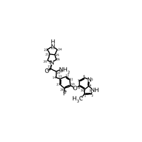 Cc1c[nH]c2nccc(Oc3ccc(CC(N)C(=O)N4CC5CNCC5C4)cc3F)c12